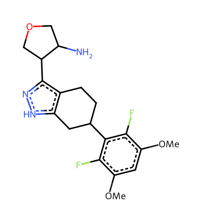 COc1cc(OC)c(F)c(C2CCc3c(C4COCC4N)n[nH]c3C2)c1F